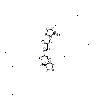 O=C(/C=C/C(=O)ON1CCCC1=O)ON1CCCC1=O